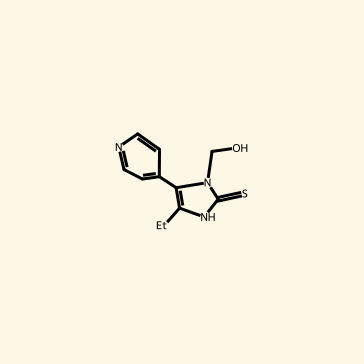 CCc1[nH]c(=S)n(CO)c1-c1ccncc1